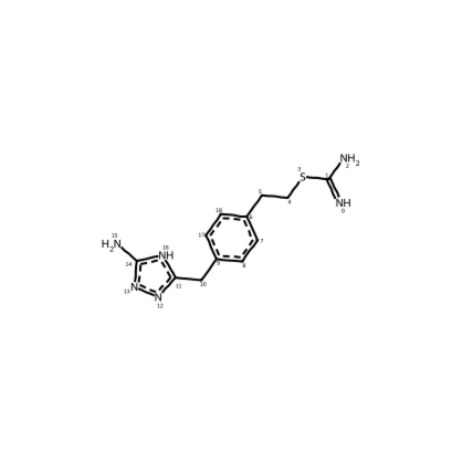 N=C(N)SCCc1ccc(Cc2nnc(N)[nH]2)cc1